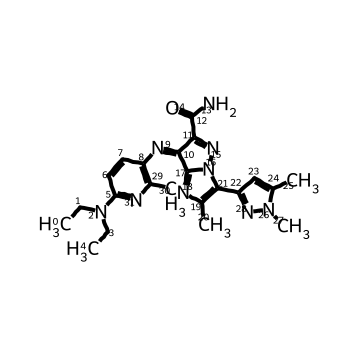 CCN(CC)c1ccc(/N=C2/C(C(N)=O)=Nn3c2nc(C)c3-c2cc(C)n(C)n2)c(C)n1